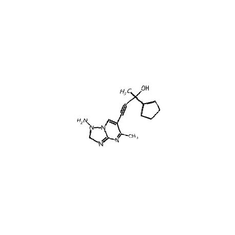 CC1=NC2=NCN(N)N2C=C1C#CC(C)(O)C1CCCC1